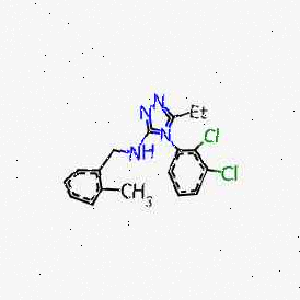 CCc1nnc(NCc2ccccc2C)n1-c1cccc(Cl)c1Cl